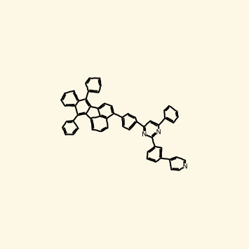 c1ccc(-c2cc(-c3ccc(-c4ccc5c6c(cccc46)-c4c-5c(-c5ccccc5)c5ccccc5c4-c4ccccc4)cc3)nc(-c3cccc(-c4ccncc4)c3)n2)cc1